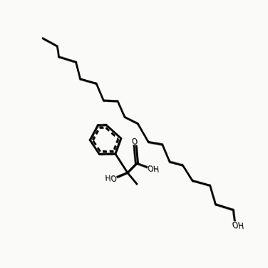 CC(O)(C(=O)O)c1ccccc1.CCCCCCCCCCCCCCCCCCO